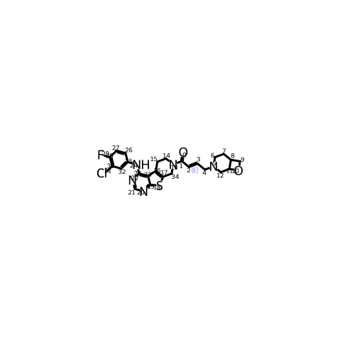 O=C(/C=C/CN1CCC2COC2C1)N1CCc2c(sc3ncnc(Nc4ccc(F)c(Cl)c4)c23)C1